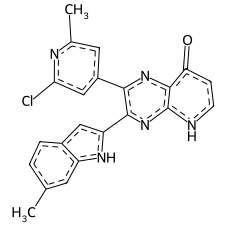 Cc1ccc2cc(-c3nc4[nH]ccc(=O)c4nc3-c3cc(C)nc(Cl)c3)[nH]c2c1